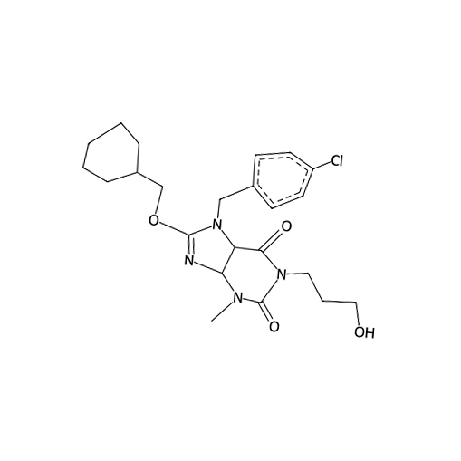 CN1C(=O)N(CCCO)C(=O)C2C1N=C(OCC1CCCCC1)N2Cc1ccc(Cl)cc1